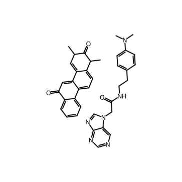 CC1C=c2c(ccc3c2=CC(=O)c2ccccc2-3)C(C)C1=O.CN(C)c1ccc(CCNC(=O)Cn2cnc3ncncc32)cc1